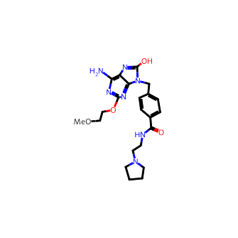 COCCOc1nc(N)c2nc(O)n(Cc3ccc(C(=O)NCCN4CCCC4)cc3)c2n1